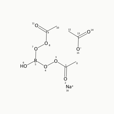 CC(=O)OOB(O)OOC(C)=O.CC(=O)[O-].[Na+]